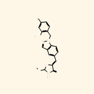 CCSC1NC(=O)C(=Cc2ccc3c(cnn3Cc3ccc(Cl)cc3C(F)(F)F)c2)S1